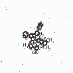 Cc1cc2c3c(c1)N(c1ccc(C(C)(C)C)cc1-c1ccccc1)C1=C(B3n3c4ccc(C56CC7CC(CC(C7)C5)C6)cc4c4cc(C56CC7CC(CC(C7)C5)C6)cc-2c43)C(C)(C)c2cc3c(cc21)C(C)(C)CCC3(C)C